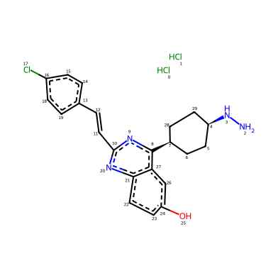 Cl.Cl.NN[C@H]1CC[C@@H](c2nc(C=Cc3ccc(Cl)cc3)nc3ccc(O)cc32)CC1